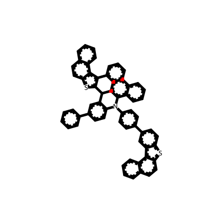 c1ccc(-c2ccc(N(c3ccc(-c4ccc5sc6ccc7ccccc7c6c5c4)cc3)c3cccc4ccccc34)c(C3Cc4ccccc4-c4c3sc3ccc5ccccc5c43)c2)cc1